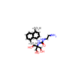 NCCNC(=O)NC(CO)(CO)CO.O=S(=O)(O)c1cccc2c(S(=O)(=O)O)cccc12